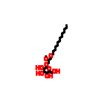 CCCCCCCCCCCCCCOCC(COC1OC(CO)C(O)C(O)C1O)OC